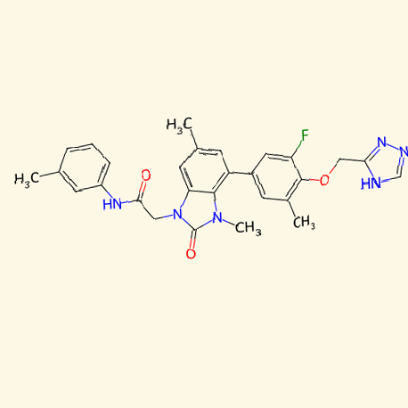 Cc1cccc(NC(=O)Cn2c(=O)n(C)c3c(-c4cc(C)c(OCc5nnc[nH]5)c(F)c4)cc(C)cc32)c1